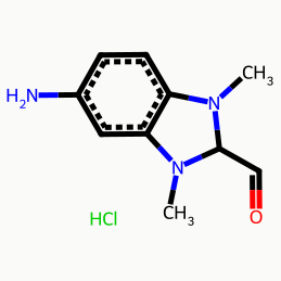 CN1c2ccc(N)cc2N(C)C1C=O.Cl